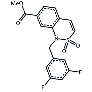 COC(=O)c1ccc2c(c1)N(Cc1cc(F)cc(F)c1)S(=O)(=O)C=C2